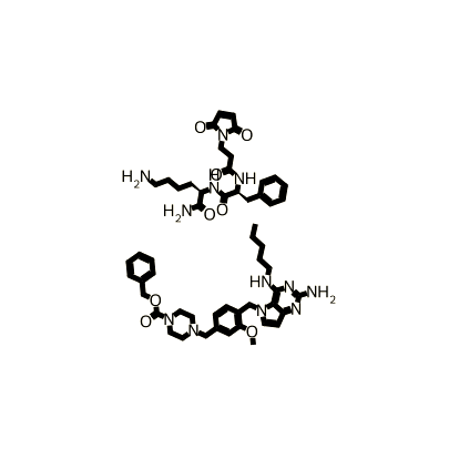 CCCCCNc1nc(N)nc2ccn(Cc3ccc(CN4CCN(C(=O)OCc5ccccc5)CC4)cc3OC)c12.NCCCC[C@@H](NC(=O)[C@H](Cc1ccccc1)NC(=O)CCN1C(=O)C=CC1=O)C(N)=O